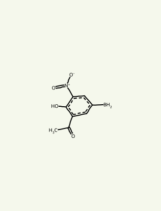 Bc1cc(C(C)=O)c(O)c([N+](=O)[O-])c1